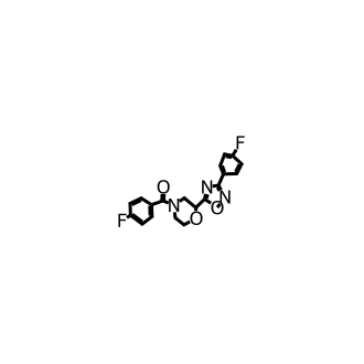 O=C(c1ccc(F)cc1)N1CCOC(c2nc(-c3ccc(F)cc3)no2)C1